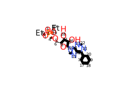 CCOP(=O)(COC[C@H]1O[C@@H](n2cnc3c(-c4ccccc4)ncnc32)[C@H](O)[C@@H]1O)OCC